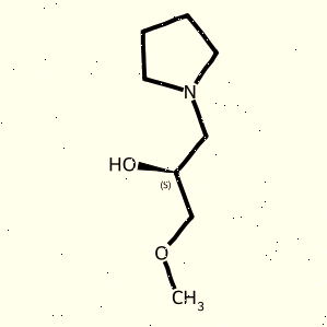 COC[C@@H](O)CN1CCCC1